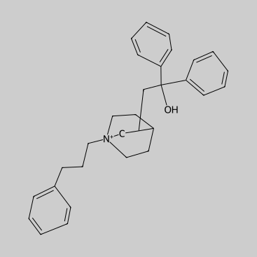 OC(CC1C[N+]2(CCCc3ccccc3)CCC1CC2)(c1ccccc1)c1ccccc1